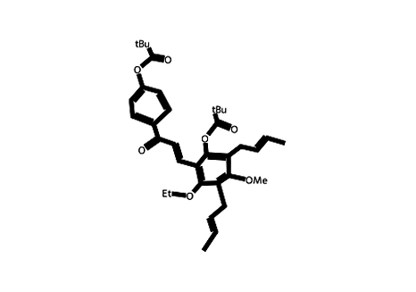 CC=CCc1c(OCC)c(C=CC(=O)c2ccc(OC(=O)C(C)(C)C)cc2)c(OC(=O)C(C)(C)C)c(CC=CC)c1OC